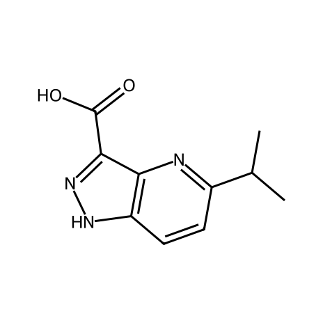 CC(C)c1ccc2[nH]nc(C(=O)O)c2n1